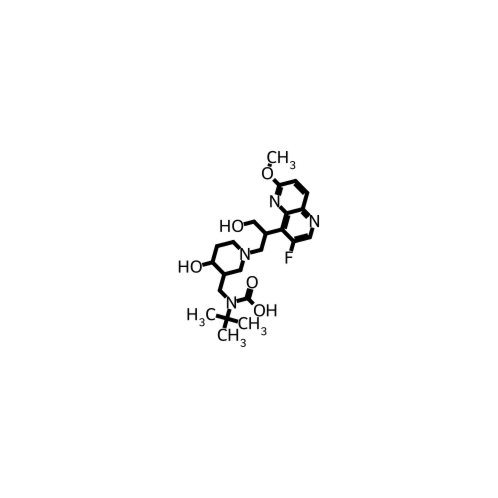 COc1ccc2ncc(F)c(C(CO)CN3CCC(O)C(CN(C(=O)O)C(C)(C)C)C3)c2n1